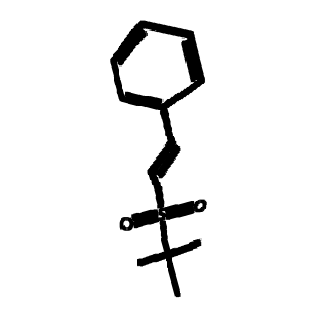 CC(C)(C)S(=O)(=O)/C=C/c1ccccc1